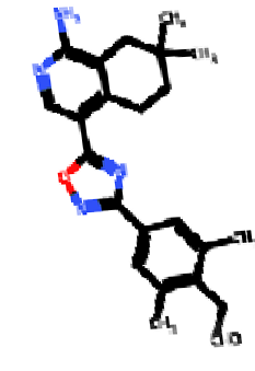 Cc1cc(-c2noc(-c3cnc(N)c4c3CCC(C)(C)C4)n2)cc(C)c1CC=O